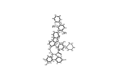 C=C1C2c3cc(C)ccc3-c3cc(C)c(C)c[n+]3C2CCc2ccc3c(oc4nc(-c5c(C(C)C)ccc(-c6ccccc6)c5C(C)C)ccc43)c2-c2cc(C)c(C3CCCCC3)c[n+]21